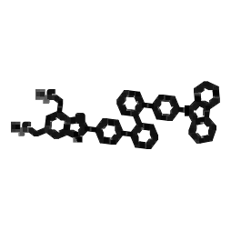 CCc1cc(CC)c2oc(-c3ccc(-c4ccccc4-c4ccccc4-c4ccc(-n5c6ccccc6c6ccccc65)cc4)cc3)nc2c1